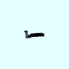 [LiH].[O]=[Sc].[Ti]